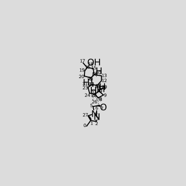 Cc1cnn(CC(=O)[C@H]2C[C@H]3[C@@H]4CC[C@@H]5CC(C)(O)CC[C@@H]5[C@H]4CC[C@]23C)c1